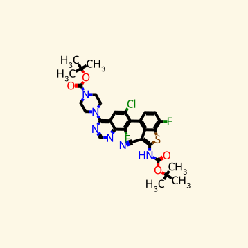 CC(C)(C)OC(=O)Nc1sc2c(F)ccc(-c3c(Cl)cc4c(N5CCN(C(=O)OC(C)(C)C)CC5)ncnc4c3F)c2c1C#N